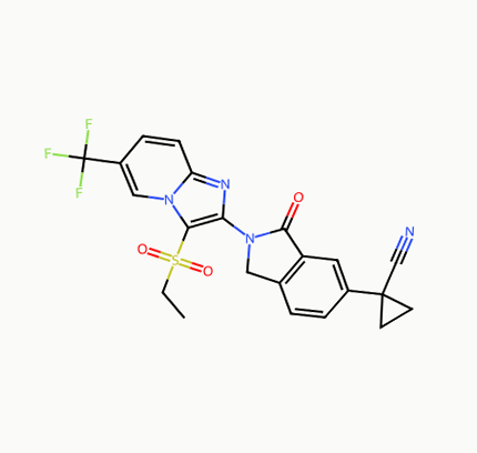 CCS(=O)(=O)c1c(N2Cc3ccc(C4(C#N)CC4)cc3C2=O)nc2ccc(C(F)(F)F)cn12